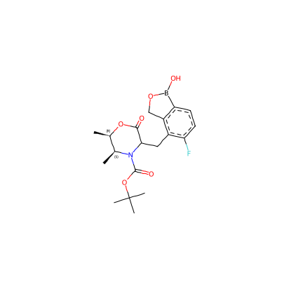 C[C@H]1OC(=O)C(Cc2c(F)ccc3c2COB3O)N(C(=O)OC(C)(C)C)[C@H]1C